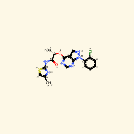 CCCC[C@H](Oc1ncnc2c1cnn2-c1ccccc1Cl)C(=O)Nc1nc(C)cs1